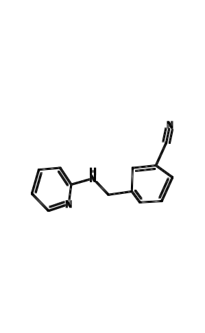 N#Cc1cccc(CNc2ccccn2)c1